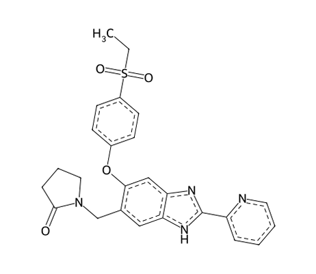 CCS(=O)(=O)c1ccc(Oc2cc3nc(-c4ccccn4)[nH]c3cc2CN2CCCC2=O)cc1